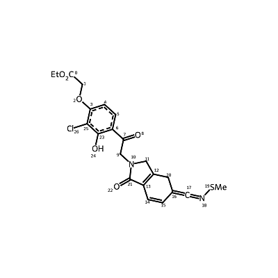 CCOC(=O)COc1ccc(C(=O)CN2CC3=C(C=CC(=C=NSC)C3)C2=O)c(O)c1Cl